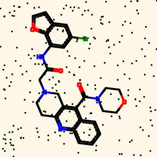 O=C(CN1CCc2nc3ccccc3c(C(=O)N3CCOCC3)c2C1)Nc1cc(Br)cc2ccoc12